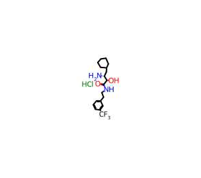 Cl.N[C@H](CC1CCCCC1)C(O)C(=O)NCCc1cccc(C(F)(F)F)c1